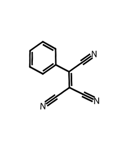 N#CC(C#N)=C(C#N)c1ccccc1